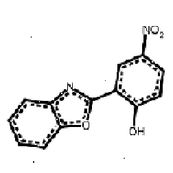 O=[N+]([O-])c1ccc(O)c(-c2nc3ccccc3o2)c1